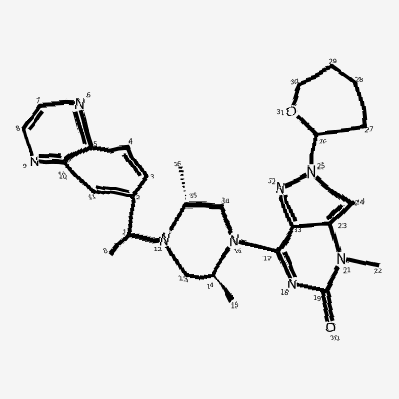 CC(c1ccc2nccnc2c1)N1C[C@H](C)N(c2nc(=O)n(C)c3cn(C4CCCCO4)nc23)C[C@H]1C